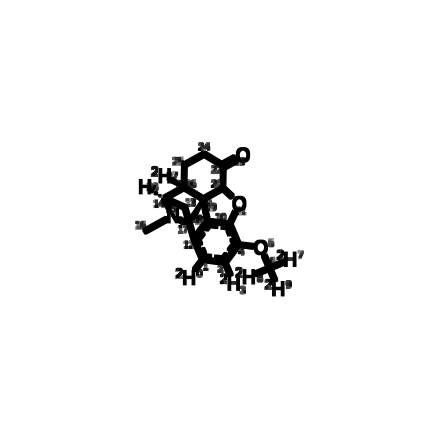 [2H]c1c([2H])c(OC([2H])([2H])[2H])c2c3c1C[C@H]1N(C)CC[C@@]34C(O2)C(=O)CC[C@@]14[2H]